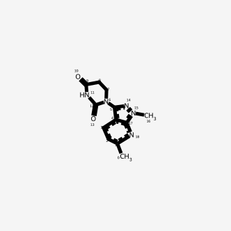 Cc1ccc2c(N3CCC(=O)NC3=O)nn(C)c2n1